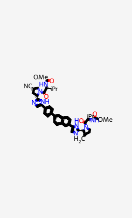 C=C1CCN(C(=O)[C@@H](NC(=O)OC)C(C)C)[C@@H]1c1ncc(-c2ccc3cc(-c4ccc(-c5cnc([C@@H]6C[C@H](C#N)CN6C(=O)[C@@H](NC(=O)OC)C(C)C)[nH]5)cc4)ccc3c2)[nH]1